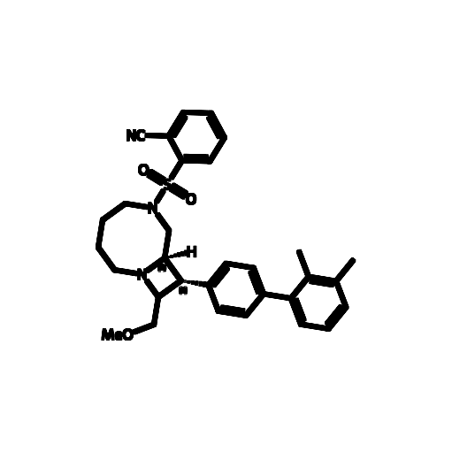 COCC1[C@@H](c2ccc(-c3cccc(C)c3C)cc2)[C@@H]2CN(S(=O)(=O)c3ccccc3C#N)CCCCN12